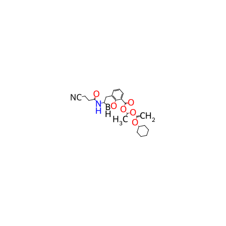 C=C(OC1CCCCC1)OC(C)OC(=O)c1cccc2c1OBC(NC(=O)CCC#N)C2